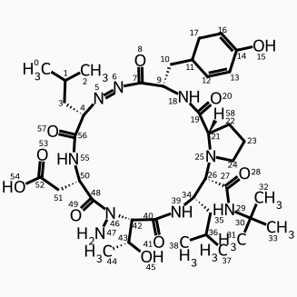 CC(C)C[C@@H]1N=NC(=O)[C@H](CC2C=CC(O)=CC2)NC(=O)[C@@H]2CCCN2[C@H](C(=O)NC(C)(C)C)[C@H](CC(C)C)NC(=O)[C@H]([C@@H](C)O)N(N)C(=O)[C@H](CC(=O)O)NC1=O